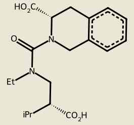 CCN(C[C@H](C(=O)O)C(C)C)C(=O)N1Cc2ccccc2C[C@H]1C(=O)O